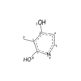 Cc1c(O)ccnc1O